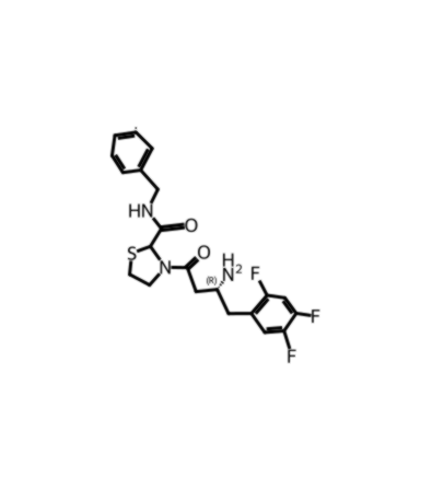 N[C@@H](CC(=O)N1CCSC1C(=O)NCc1c[c]ccc1)Cc1cc(F)c(F)cc1F